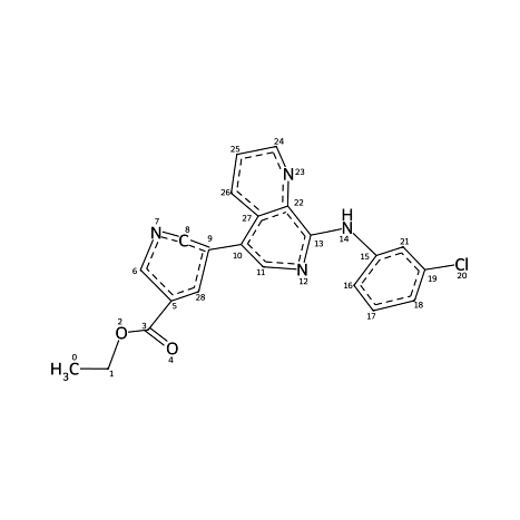 CCOC(=O)c1cncc(-c2cnc(Nc3cccc(Cl)c3)c3ncccc23)c1